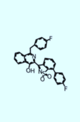 O=S1(=O)N=C(c2nc(Cc3ccc(F)cc3)c3ccccc3c2O)c2cccc(-c3ccc(F)cc3)c21